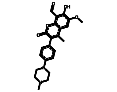 COc1cc2c(C)c(-c3ccc(N4CCN(C)CC4)cc3)c(=O)oc2c(C=O)c1O